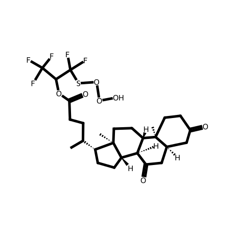 CC(CCC(=O)OC(C(F)(F)F)C(F)(F)SOOO)[C@H]1CC[C@H]2[C@@H]3C(=O)C[C@@H]4CC(=O)CC[C@]4(C)[C@H]3CC[C@]12C